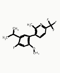 COc1cc(F)c(C(C)C)cc1-c1ccc(C(F)(F)F)nc1C